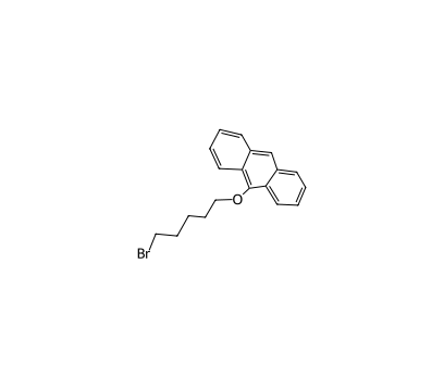 BrCCCCCOc1c2ccccc2cc2ccccc12